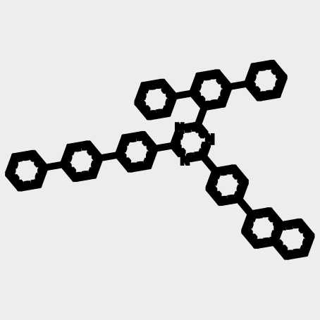 c1ccc(-c2ccc(-c3ccc(-c4nc(-c5ccc(-c6ccc7ccccc7c6)cc5)nc(-c5cc(-c6ccccc6)ccc5-c5ccccc5)n4)cc3)cc2)cc1